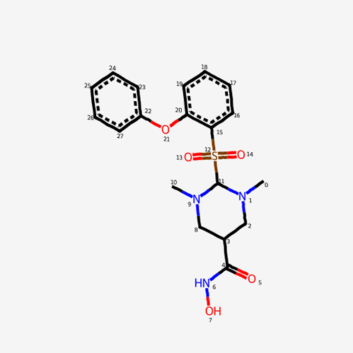 CN1CC(C(=O)NO)CN(C)C1S(=O)(=O)c1ccccc1Oc1ccccc1